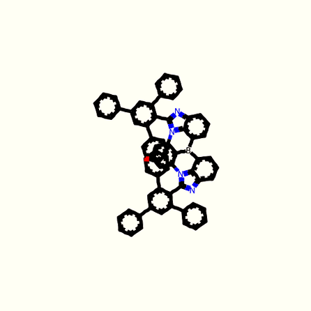 c1ccc(-c2cc(-c3ccccc3)c(-c3nc4cccc5c4n3-c3cccc4c3B5c3cccc5nc(-c6c(-c7ccccc7)cc(-c7ccccc7)cc6-c6ccccc6)n-4c35)c(-c3ccccc3)c2)cc1